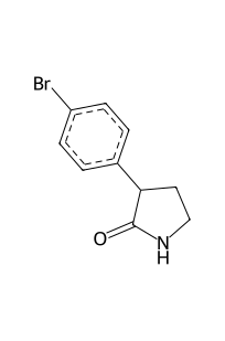 O=C1NCCC1c1ccc(Br)cc1